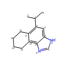 CC(C)c1cc2[nH]cnc2c2c1CCCC2